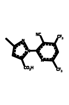 Cc1cc(C(=O)O)n(-c2nc(C(F)(F)F)cc(C(F)(F)F)c2C#N)n1